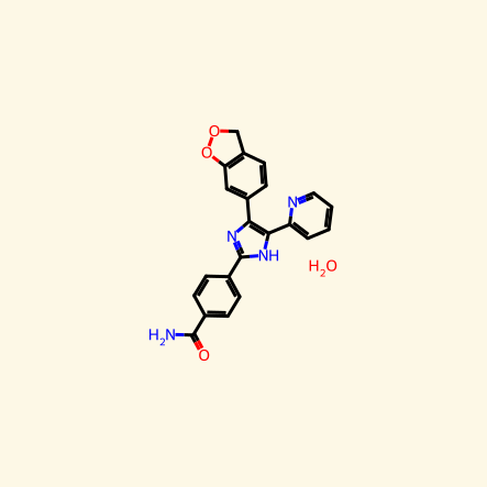 NC(=O)c1ccc(-c2nc(-c3ccc4c(c3)OOC4)c(-c3ccccn3)[nH]2)cc1.O